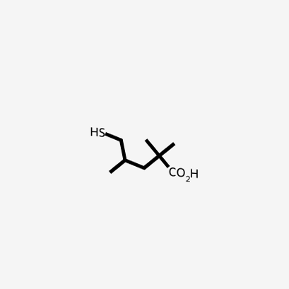 CC(CS)CC(C)(C)C(=O)O